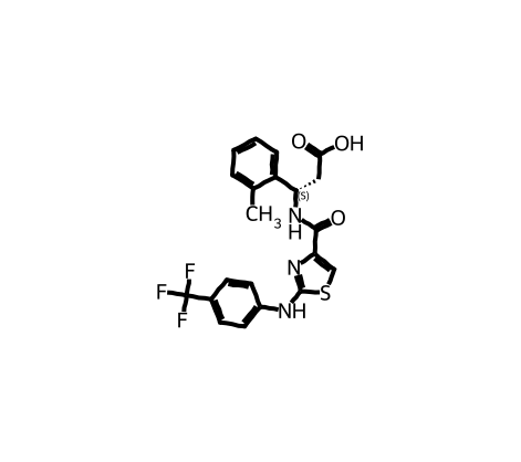 Cc1ccccc1[C@H](CC(=O)O)NC(=O)c1csc(Nc2ccc(C(F)(F)F)cc2)n1